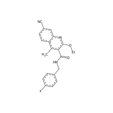 CCOc1nc2cc(C#N)ccc2c(C)c1C(=O)NCc1ccc(F)cc1